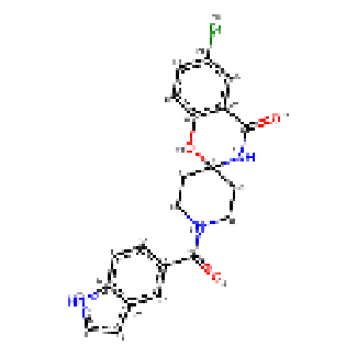 O=C1NC2(CCN(C(=O)c3ccc4[nH]ccc4c3)CC2)Oc2ccc(Br)cc21